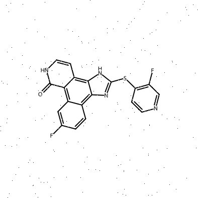 O=c1[nH]ccc2c3[nH]c(Sc4ccncc4F)nc3c3ccc(F)cc3c12